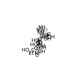 CCC([C]([C@H]1O[C@@H](C(O)P(=O)(O)OP(=O)(O)OC[C@H]2O[C@@H](n3cnc4c(N)ncnc43)[C@H](OP(=O)(O)O)[C@@H]2O)[C@@H](O)[C@H]1O)[n+]1ccccc1)C(=O)O